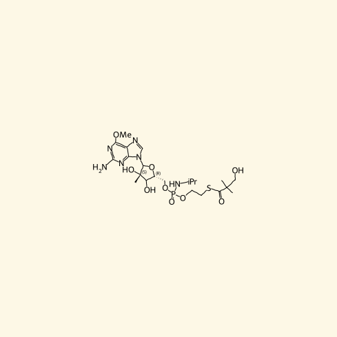 COc1nc(N)nc2c1ncn2C1O[C@H](COP(=O)(NC(C)C)OCCSC(=O)C(C)(C)CO)C(O)[C@]1(C)O